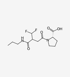 CCCNC(=O)C(CC(=O)N1CCC[C@H]1C(=O)O)C(F)F